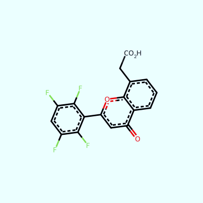 O=C(O)Cc1cccc2c(=O)cc(-c3c(F)c(F)cc(F)c3F)oc12